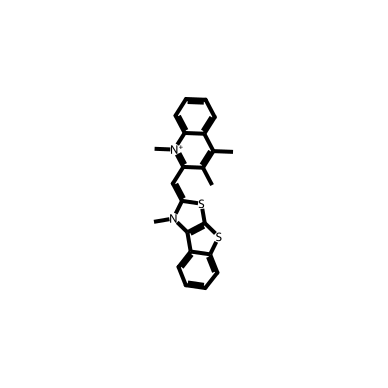 Cc1c(C)c2ccccc2[n+](C)c1C=C1Sc2sc3ccccc3c2N1C